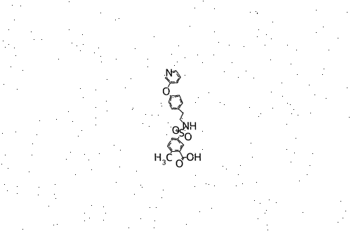 Cc1ccc(S(=O)(=O)NCCc2ccc(Oc3cccnc3)cc2)cc1C(=O)O